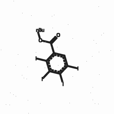 CCCCOC(=O)c1cc(I)c(I)c(I)c1I